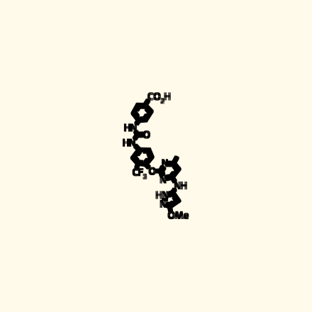 COc1cc(Nc2cc(C)nc(Oc3ccc(NC(=O)Nc4ccc(C(=O)O)cc4)cc3C(F)(F)F)n2)[nH]n1